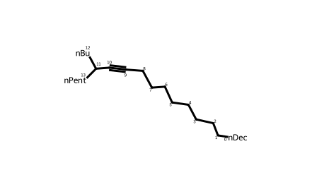 [CH2]CCCCCCCCCCCCCCCCCC#CC(CCCC)CCCC[CH2]